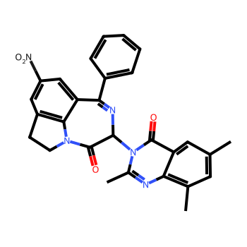 Cc1cc(C)c2nc(C)n(C3N=C(c4ccccc4)c4cc([N+](=O)[O-])cc5c4N(CC5)C3=O)c(=O)c2c1